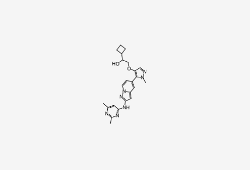 Cc1cc(Nc2cc3cc(-c4c(OCC(O)C5CCC5)cnn4C)ccn3n2)nc(C)n1